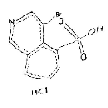 Cl.O=S(=O)(O)c1cccc2cncc(Br)c12